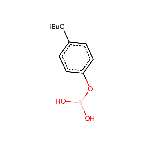 CC(C)COc1ccc(OB(O)O)cc1